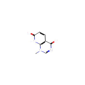 Cn1cnc(=O)c2ccc(=O)[nH]c21